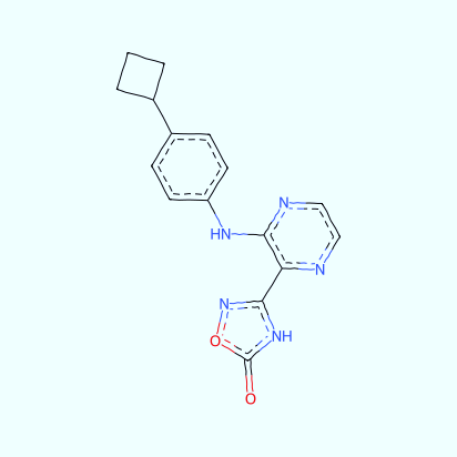 O=c1[nH]c(-c2nccnc2Nc2ccc(C3CCC3)cc2)no1